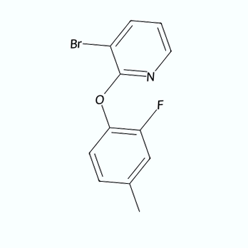 Cc1ccc(Oc2ncccc2Br)c(F)c1